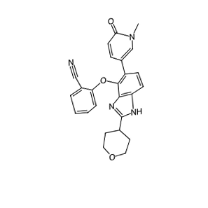 Cn1cc(-c2ccc3[nH]c(C4CCOCC4)nc3c2Oc2ccccc2C#N)ccc1=O